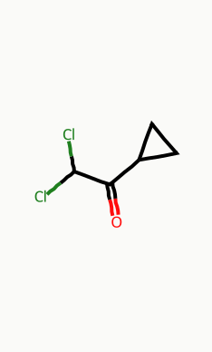 O=C(C(Cl)Cl)C1CC1